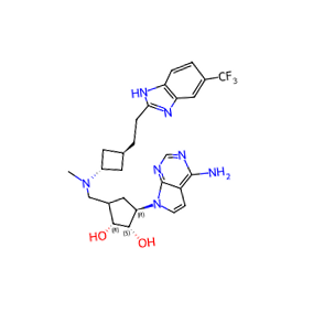 CN(CC1C[C@@H](n2ccc3c(N)ncnc32)[C@H](O)[C@@H]1O)[C@H]1C[C@H](CCc2nc3cc(C(F)(F)F)ccc3[nH]2)C1